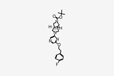 CC(C)(C)OC(=O)N1C[C@@H]2CN(c3cncc(OCCc4ccc(F)cc4)n3)C[C@@H]2C1